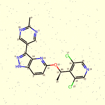 Cc1ncc(-c2n[nH]c3ccc(O[C@H](C)c4c(Cl)cncc4Cl)nc23)cn1